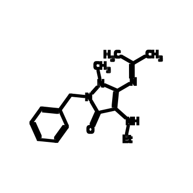 CCNc1c(N=C(C)C)n(C)n(Cc2ccccc2)c1=O